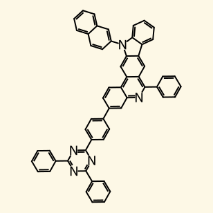 c1ccc(-c2nc(-c3ccccc3)nc(-c3ccc(-c4ccc5c(c4)nc(-c4ccccc4)c4cc6c7ccccc7n(-c7ccc8ccccc8c7)c6cc45)cc3)n2)cc1